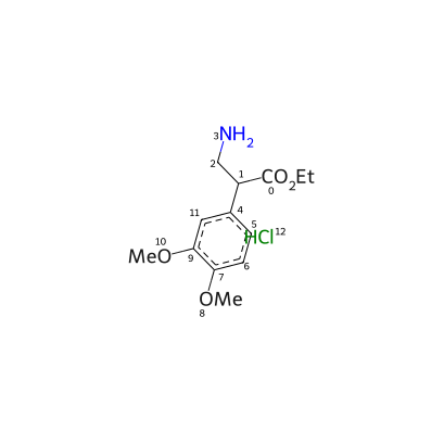 CCOC(=O)C(CN)c1ccc(OC)c(OC)c1.Cl